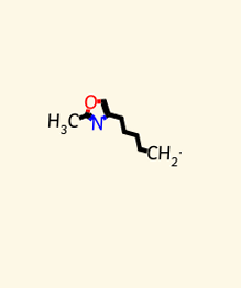 [CH2]CCCCc1coc(C)n1